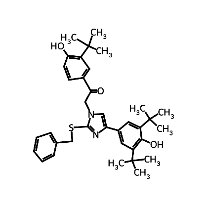 CC(C)(C)c1cc(C(=O)Cn2cc(-c3cc(C(C)(C)C)c(O)c(C(C)(C)C)c3)nc2SCc2ccccc2)ccc1O